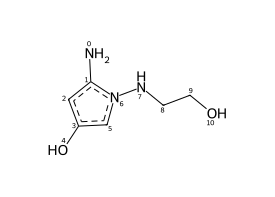 Nc1cc(O)cn1NCCO